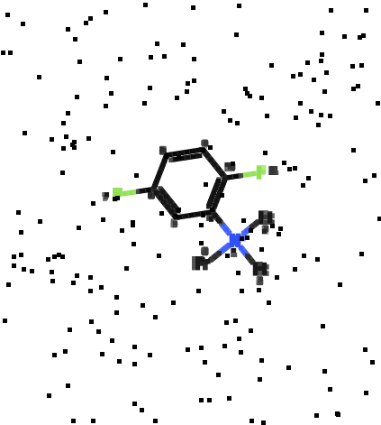 [CH2]C(C)[N+](CC)(CC)c1cc(F)ccc1F